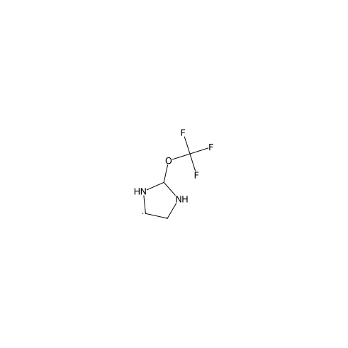 FC(F)(F)OC1N[CH]CN1